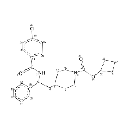 O=C(NC(CC1CCN(C(=O)OC2CCC2)CC1)c1ccccc1)c1ccc(Cl)cc1